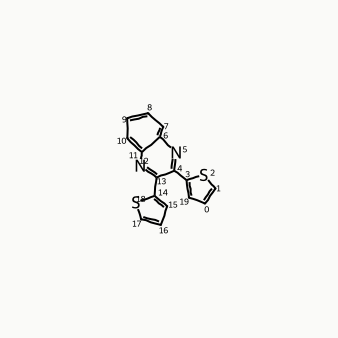 c1csc(-c2nc3ccccc3nc2-c2cccs2)c1